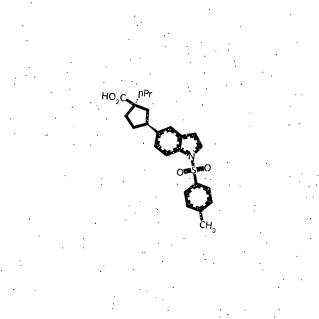 CCC[C@@]1(C(=O)O)CC[C@H](c2ccc3c(ccn3S(=O)(=O)c3ccc(C)cc3)c2)C1